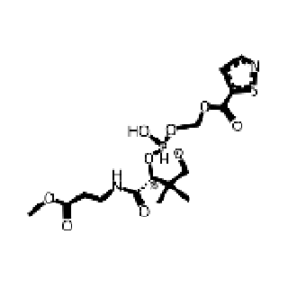 COC(=O)CCNC(=O)[C@@H]1O[PH](O)(OCOC(=O)c2ccns2)OCC1(C)C